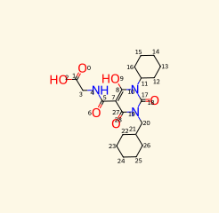 O=C(O)CNC(=O)c1c(O)n(C2CCCCC2)c(=O)n(CC2CCCCC2)c1=O